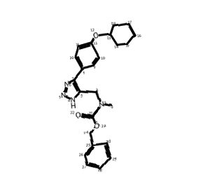 CN(Cc1[nH]nnc1-c1ccc(OC2CCCCC2)cc1)C(=O)OCc1ccccc1